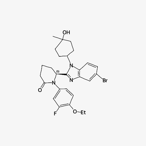 CCOc1ccc(N2C(=O)CCC[C@H]2c2nc3cc(Br)ccc3n2C2CCC(C)(O)CC2)cc1F